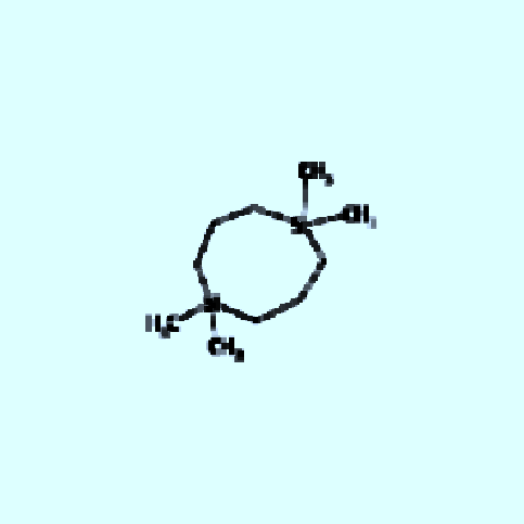 C[Si]1(C)CCC[Si](C)(C)CCC1